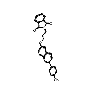 N#Cc1ccc(-c2ccc3cc(OCCCN4C(=O)c5ccccc5C4=O)ccc3c2)cc1